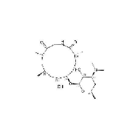 C[C@@H]1C[C@@H](O)[C@H](O[C@@H]2O[C@H](C)C[C@H](N(C)C)[C@H]2O)CC[C@@H](C)C(=O)NCC(=O)N(C)C1